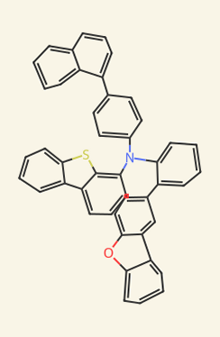 c1ccc(N(c2ccc(-c3cccc4ccccc34)cc2)c2cccc3c2sc2ccccc23)c(-c2ccc3oc4ccccc4c3c2)c1